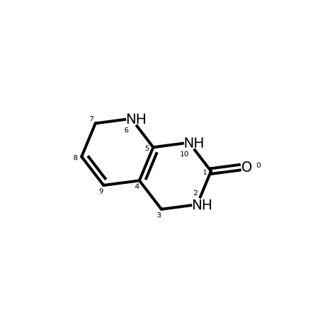 O=C1NCC2=C(NCC=C2)N1